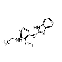 CCNc1nccc(Sc2nc3ccccc3[nH]2)c1C